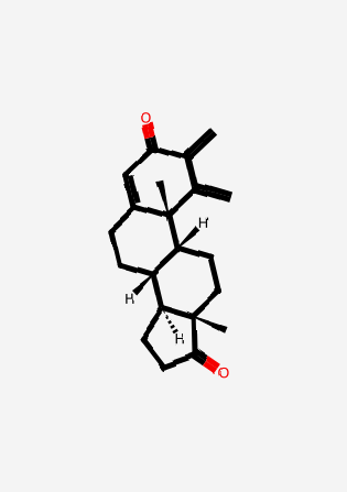 C=C1C(=C)[C@@]2(C)C(=CC1=O)CC[C@@H]1[C@H]2CC[C@]2(C)C(=O)CC[C@@H]12